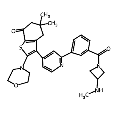 CNC1CN(C(=O)c2cccc(-c3cc(-c4c(N5CCOCC5)sc5c4CC(C)(C)CC5=O)ccn3)c2)C1